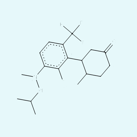 CC(C)PN(C)c1ccc(C(F)(F)F)c(C2CC(=O)CCC2C)c1F